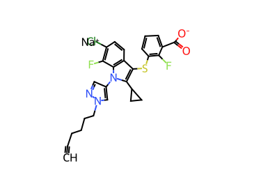 C#CCCCCn1cc(-n2c(C3CC3)c(Sc3cccc(C(=O)[O-])c3F)c3ccc(Cl)c(F)c32)cn1.[Na+]